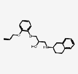 C=CCOc1ccccc1OCC(O)CNC1CCc2ccccc2C1